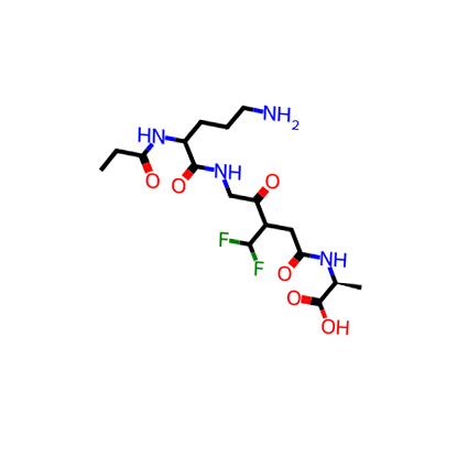 CCC(=O)NC(CCCN)C(=O)NCC(=O)C(CC(=O)N[C@@H](C)C(=O)O)C(F)F